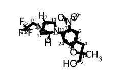 CC1(CO)Cc2cc([N+](=O)[O-])c(N3C[C@@H]4C[C@H]3CN4CC(F)(F)F)cc2O1